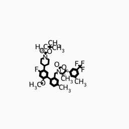 COc1cc(F)c(C2CCN(C(=O)OC(C)(C)C)CC2)cc1-c1ccc(C)cc1CN1C(=O)O[C@H](c2cc(C)cc(C(F)(F)F)c2)[C@@H]1C